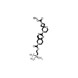 CC(C)(C)OC(=O)N1CC2(C1)CN(c1ncc3c(n1)CCN(C(=O)OCC[Si](C)(C)C)C3)CCO2